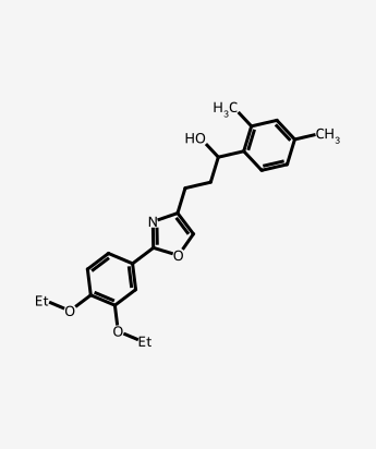 CCOc1ccc(-c2nc(CCC(O)c3ccc(C)cc3C)co2)cc1OCC